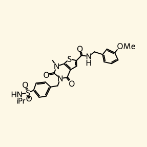 COc1cccc(CNC(=O)c2cc3c(=O)n(Cc4ccc(S(=O)(=O)NC(C)C)cc4)c(=O)n(C)c3s2)c1